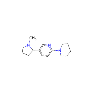 CN1CCCC1c1ccc(N2CCCCC2)nc1